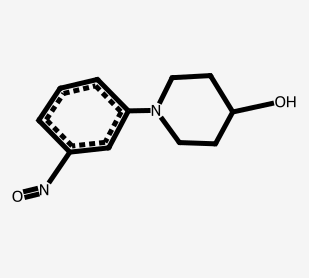 O=Nc1cccc(N2CCC(O)CC2)c1